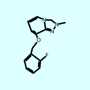 CN1CN2C=CC=C(OCc3ccccc3F)C2=N1